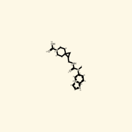 CN(C(=O)NCC1CC12CCN(C(=O)O)CC2)c1ccc2nccn2c1